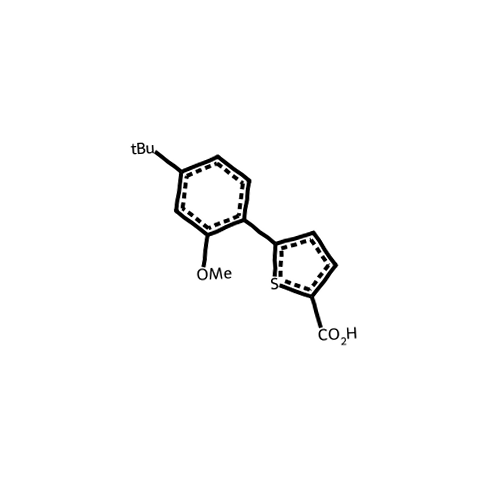 COc1cc(C(C)(C)C)ccc1-c1ccc(C(=O)O)s1